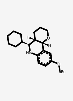 CCCCOc1ccc2c(c1)[C@H]1OCCC[C@H]1[C@H](C1CCCCC1)N2